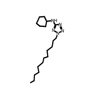 CCCCCCCCCCCCn1nnc(NC2CCCCC2)n1